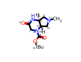 CN1C[C@@H]2NC(=O)CN(C(=O)OC(C)(C)C)[C@H]2C1